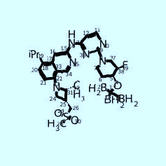 BC(B)(B)O[C@H]1CCN(c2nccc(Nc3cc4c(C(C)C)ccc(N5C[C@H](CS(C)(=O)=O)[C@H]5C)c4cn3)n2)C[C@H]1F